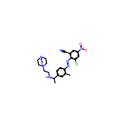 Cc1cc(C(C)NCC[N+]23CCN(CC2)CC3)ccc1N=Nc1c(Cl)cc([N+](=O)[O-])cc1C#N